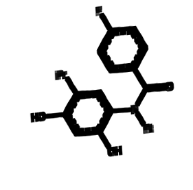 CCN(C(=O)c1ccc(F)cc1)c1cc(C(C)C)c(O)cc1O